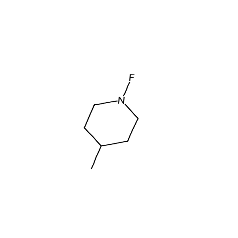 CC1CCN(F)CC1